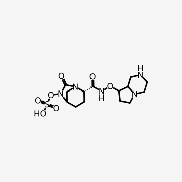 O=C(NOC1CCN2CCNCC12)[C@@H]1CCC2CN1C(=O)N2OS(=O)(=O)O